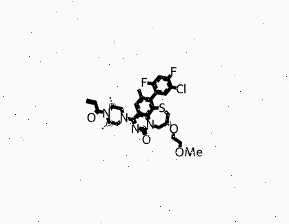 C=CC(=O)N1[C@H](C)CN(c2nc(=O)n3c4c(c(-c5cc(Cl)c(F)cc5F)c(C)cc24)SC[C@H](OCCOC)C3)C[C@@H]1C